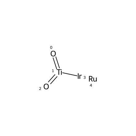 [O]=[Ti](=[O])[Ir].[Ru]